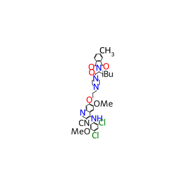 CCC(C)C(C(=O)N1CCN(CCCOc2cc3ncc(C#N)c(Nc4cc(OC)c(Cl)cc4Cl)c3cc2OC)CC1)N1C(=O)c2ccc(C)cc2C1=O